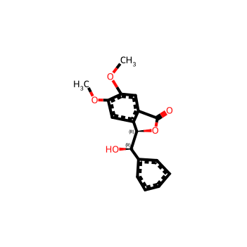 COc1cc2c(cc1OC)[C@H]([C@H](O)c1ccccc1)OC2=O